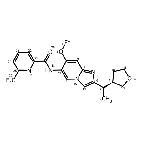 CCOc1cc2nc(C(C)[C@H]3CCOC3)cn2cc1NC(=O)c1cccc(C(F)(F)F)n1